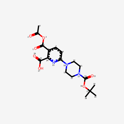 CC(=O)OC(=O)c1ccc(N2CCN(C(=O)OC(C)(C)C)CC2)nc1C(=O)O